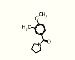 COc1ccc(C(=O)N2CCCC2)cc1C